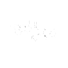 CCO/N=C1/c2cc(-c3cccc4c(C)c[nH]c34)c(F)c(F)c2NC(C)(C)C1OC(=O)Nc1ccccc1